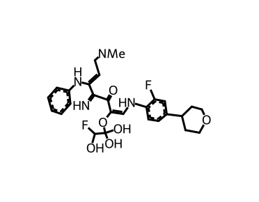 CNC/C=C(\Nc1ccccc1)C(=N)C(=O)/C(=C\Nc1ccc(C2CCOCC2)cc1F)OC(O)(O)C(O)F